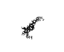 C=C(C)[C@@H]1CC[C@]2(NCCO)CC[C@]3(C)[C@H](CC[C@@H]4[C@@]5(C)CC=C(C6=CCC(C(=O)OP)CC6)C(C)(C)[C@@H]5CC[C@]43C)[C@@H]12